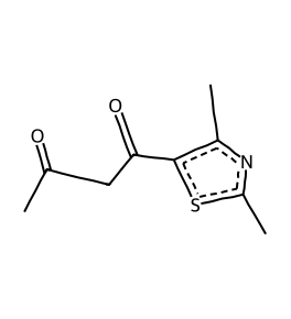 CC(=O)CC(=O)c1sc(C)nc1C